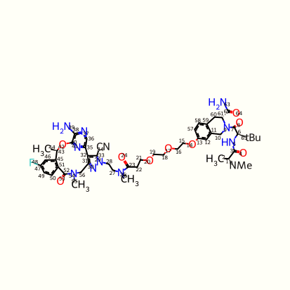 CN[C@H](C)C(=O)N[C@@H](C(=O)N1Cc2cc(OCCOCCOCCC(=O)N(C)CCn3nc4c(c3C#N)-c3cnc(N)c(n3)O[C@H](C)c3cc(F)ccc3C(=O)N(C)C4)ccc2C[C@@H]1C(N)=O)C(C)(C)C